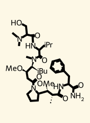 CC[C@H](C)[C@@H]([C@@H](CC(=O)N1CCCC1[C@H](OC)[C@@H](C)C(=O)NC(Cc1ccccc1)C(N)=O)OC)N(C)C(=O)C(NC(=O)C(CO)N(C)C)C(C)C